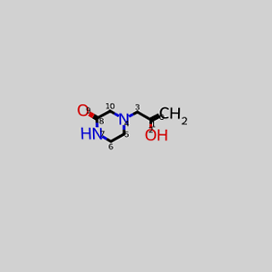 C=C(O)CN1CCNC(=O)C1